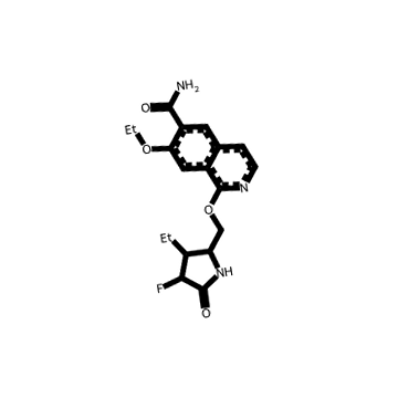 CCOc1cc2c(OCC3NC(=O)C(F)C3CC)nccc2cc1C(N)=O